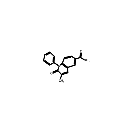 Cc1cc2cc(C(N)=O)ccc2n(-c2ccccc2)c1=O